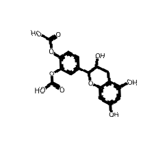 O=C(O)Oc1ccc(C2Oc3cc(O)cc(O)c3CC2O)cc1OC(=O)O